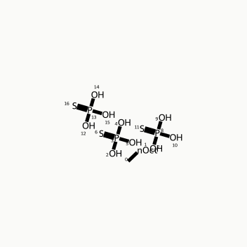 CCCCCCCCC.OP(O)(O)=S.OP(O)(O)=S.OP(O)(O)=S